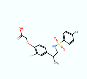 CC(CNS(=O)(=O)c1ccc(Cl)cc1)c1ccc(OCC(=O)O)c(F)c1